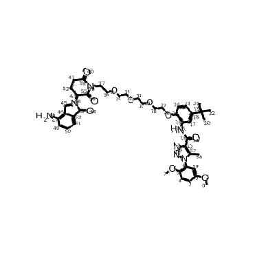 COc1ccc(OC)c(-n2nnc(C(=O)Nc3cc(C(C)(C)C)ccc3OCCOCCOCCOCCN3C(=O)CCC(N4Cc5c(N)cccc5C4=O)C3=O)c2C)c1